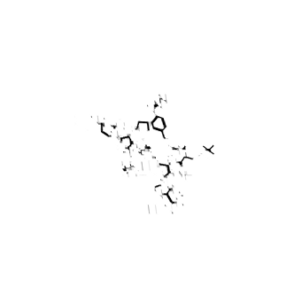 CN(C(=O)OCc1ccc(N=[N+]=[N-])cc1)C(CSSC(C)(C)C)C(=O)O[C@H]1[C@@H](O)[C@H](n2cnc3c(N)ncnc32)O[C@H]1COP(=O)(O)O[C@H]1[C@@H](O[C@@H]2CCCO2)[C@H](n2ccc(N)nc2=O)O[C@@H]1COP(=O)(O)O